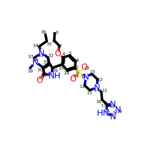 CCCOc1ccc(S(=O)(=O)N2CCN(CCc3nnn[nH]3)CC2)cc1C1NC(=O)C2=C1CN(CCC)CN2C